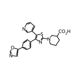 O=C(O)C1CCCN(c2nc(-c3ccc(-c4cnco4)cc3)c(-c3cccnc3)s2)C1